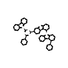 c1ccc(C2=NC(c3ccc4c(c3)oc3cccc(-n5c6ccccc6c6c(-c7ccccc7)cccc65)c34)NC(n3c4ccccc4c4ccccc43)=N2)cc1